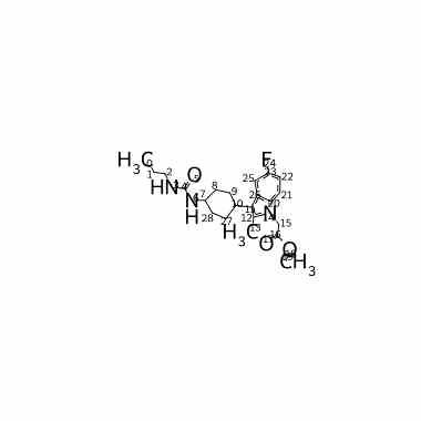 CCCNC(=O)NC1CCC(c2c(C)n(CC(=O)OC)c3ccc(F)cc23)CC1